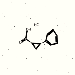 Cl.O=C(O)[C@@H]1C[C@H]1c1ccccc1